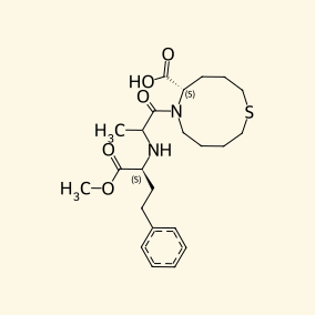 COC(=O)[C@H](CCc1ccccc1)NC(C)C(=O)N1CCCCSCCC[C@H]1C(=O)O